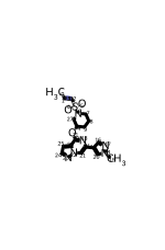 C/C=C/S(=O)(=O)N1CCC[C@@H](Oc2nc(-c3cnn(C)c3)cn3nccc23)C1